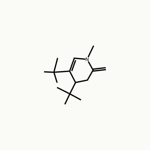 C=C1CC(C(C)(C)C)C(C(C)(C)C)=CN1C